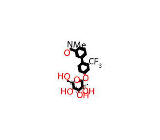 CNC(=O)c1cccc(-c2ccc(O[C@H]3O[C@H](CO)[C@@H](O)[C@H](O)[C@]3(C)O)cc2C(F)(F)F)c1